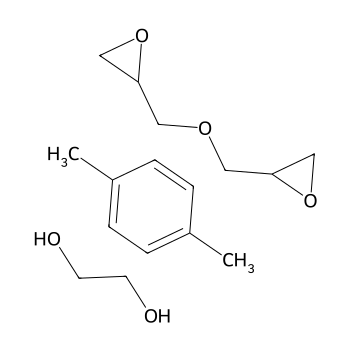 C(OCC1CO1)C1CO1.Cc1ccc(C)cc1.OCCO